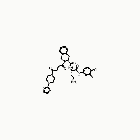 Cc1cc(NC(=O)[C@H](CCN)NC(=O)[C@@H]2Cc3ccccc3CN2C(=O)CCC(=O)N2CCN(c3nccs3)CC2)ccc1Cl